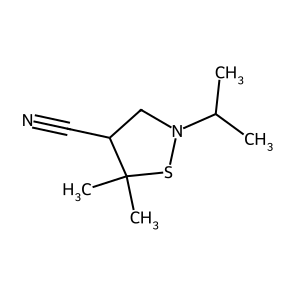 CC(C)N1CC(C#N)C(C)(C)S1